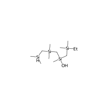 CC[Si](C)(C)C[Si](C)(O)C[Si](C)(C)C[SiH](C)C